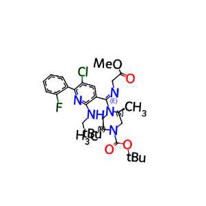 COC(=O)C/N=C(\c1cc(Cl)c(-c2ccccc2F)nc1NCC(C)(C)C)N1C[C@@H](C)N(C(=O)OC(C)(C)C)C[C@@H]1C